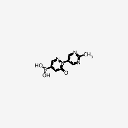 Cc1ncc(-n2ncc(B(O)O)cc2=O)cn1